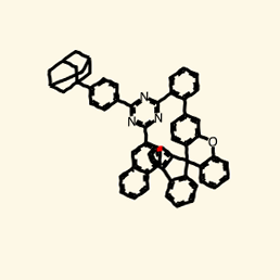 c1ccc2c(c1)Oc1cc(-c3ccccc3-c3nc(-c4ccc(C56CC7CC(CC(C7)C5)C6)cc4)nc(-c4ccc5ccccc5c4)n3)ccc1C21c2ccccc2-c2ccccc21